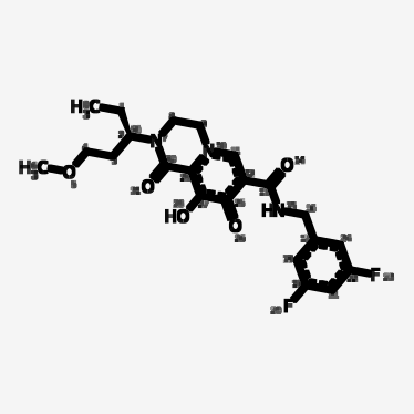 CC[C@H](CCOC)N1CCn2cc(C(=O)NCc3cc(F)cc(F)c3)c(=O)c(O)c2C1=O